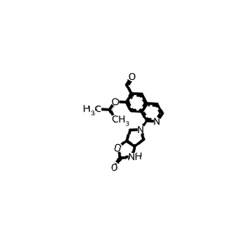 CC(C)Oc1cc2c(N3CC4NC(=O)OC4C3)nccc2cc1C=O